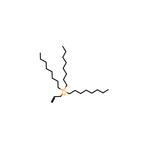 C=CC[PH](CCCCCCCC)(CCCCCCCC)CCCCCCCC